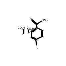 CC(=O)O.CC(=O)O.COC(=O)c1ccc(I)cc1